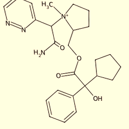 C[N+]1(C(C(N)=O)c2cccnn2)CCCC1COC(=O)C(O)(c1ccccc1)C1CCCC1